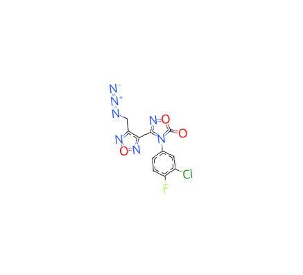 [N-]=[N+]=NCc1nonc1-c1noc(=O)n1-c1ccc(F)c(Cl)c1